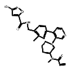 C=CC(=O)N(C)C1CCCN(c2cnccc2-c2ccc(CNC(=O)c3cc(C(C)(C)C)no3)c(C)c2)C1